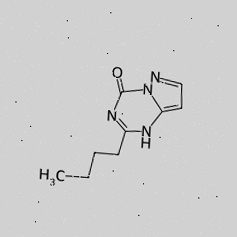 CCCCc1nc(=O)n2nccc2[nH]1